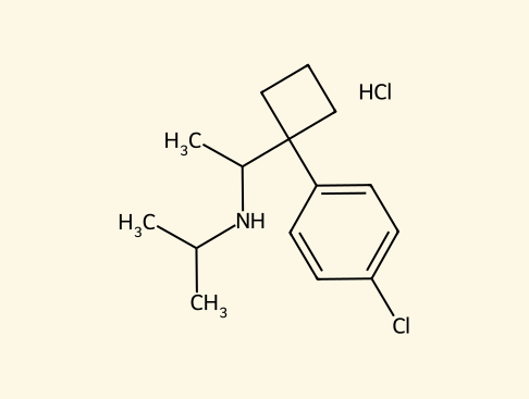 CC(C)NC(C)C1(c2ccc(Cl)cc2)CCC1.Cl